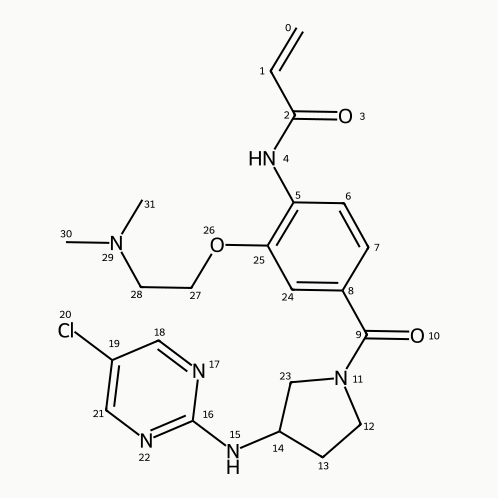 C=CC(=O)Nc1ccc(C(=O)N2CCC(Nc3ncc(Cl)cn3)C2)cc1OCCN(C)C